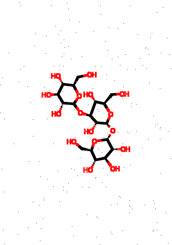 OC[C@H]1O[C@H](O[C@H]2O[C@H](CO)[C@@H](O)[C@H](OC3O[C@H](CO)[C@@H](O)[C@H](O)[C@H]3O)[C@H]2O)[C@H](O)[C@@H](O)[C@@H]1O